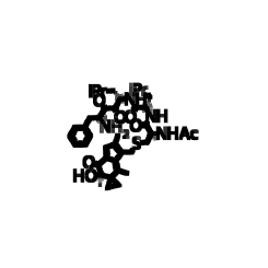 CC(=O)N[C@@H](CSCC1=C(C)C=C2C(=O)[C@](C)(O)C3(CC3)C(C)=C21)C(=O)N[C@@H](CC(C)C)C(=O)N[C@@H](CC(C)C)C(=O)C(=O)[C@@H](N)Cc1ccccc1